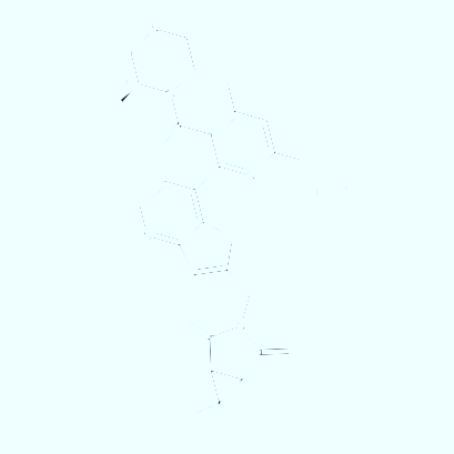 Cc1cc(C(F)(F)F)nc(-c2ccnc3cc(CN4C(=O)C5C(C4=O)C5(C)C)sc23)c1C(=O)N1CCNC[C@@H]1C.Cl.Cl